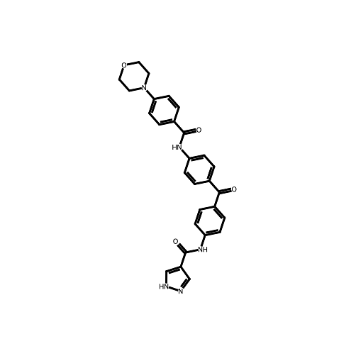 O=C(Nc1ccc(C(=O)c2ccc(NC(=O)c3cn[nH]c3)cc2)cc1)c1ccc(N2CCOCC2)cc1